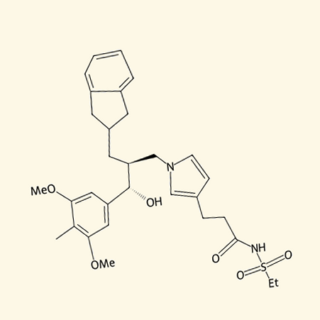 CCS(=O)(=O)NC(=O)CCc1ccn(C[C@H](CC2Cc3ccccc3C2)[C@H](O)c2cc(OC)c(C)c(OC)c2)c1